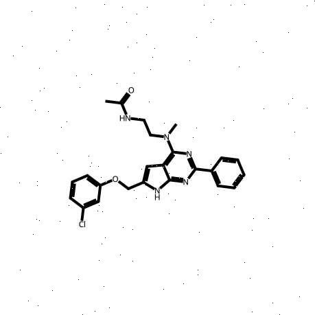 CC(=O)NCCN(C)c1nc(-c2ccccc2)nc2[nH]c(COc3cccc(Cl)c3)cc12